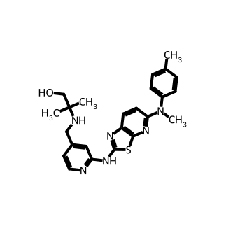 Cc1ccc(N(C)c2ccc3nc(Nc4cc(CNC(C)(C)CO)ccn4)sc3n2)cc1